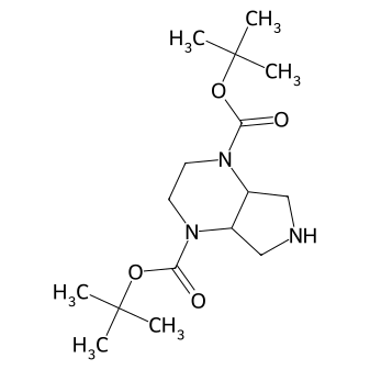 CC(C)(C)OC(=O)N1CCN(C(=O)OC(C)(C)C)C2CNCC21